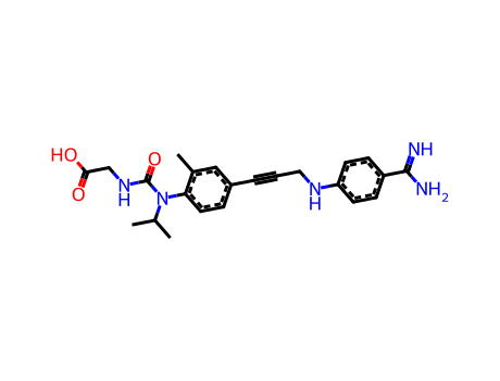 Cc1cc(C#CCNc2ccc(C(=N)N)cc2)ccc1N(C(=O)NCC(=O)O)C(C)C